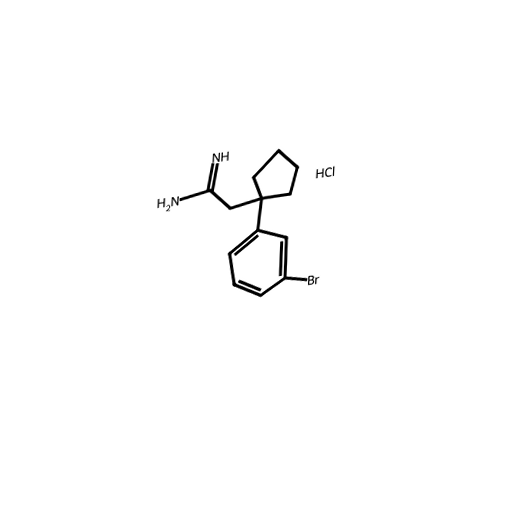 Cl.N=C(N)CC1(c2cccc(Br)c2)CCCC1